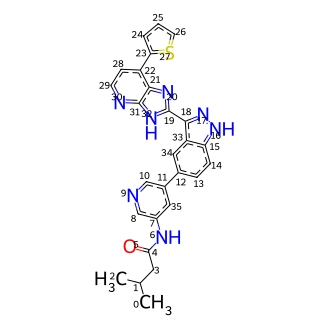 CC(C)CC(=O)Nc1cncc(-c2ccc3[nH]nc(-c4nc5c(-c6cccs6)ccnc5[nH]4)c3c2)c1